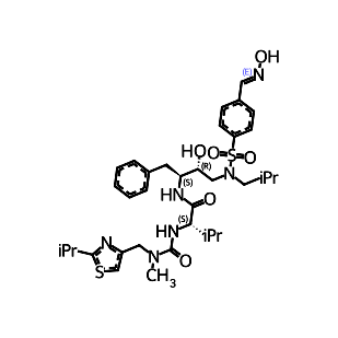 CC(C)CN(C[C@@H](O)[C@H](Cc1ccccc1)NC(=O)[C@@H](NC(=O)N(C)Cc1csc(C(C)C)n1)C(C)C)S(=O)(=O)c1ccc(/C=N/O)cc1